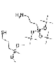 CC(C)(C)O[Si](CCCN)(OC(C)(C)C)OC(C)(C)C.CO[Si](C)(CCCS)OC